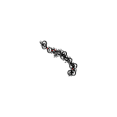 C=CC(=O)OCCCOc1ccc2c(c1)C(C)c1cc(C(=O)Oc3ccc(OCCOC(=O)C(=C)CC(=O)OC)cc3)ccc1-2